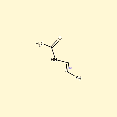 CC(=O)N/C=[CH]/[Ag]